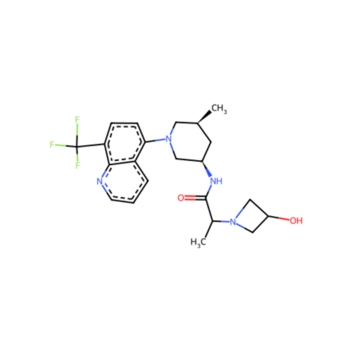 CC(C(=O)N[C@@H]1C[C@H](C)CN(c2ccc(C(F)(F)F)c3ncccc23)C1)N1CC(O)C1